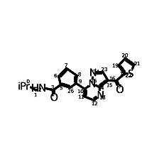 CC(C)CNC(=O)c1cccc(-c2ccnc3c(C(=O)c4cccs4)cnn23)c1